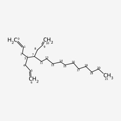 C=CC[C](CC=C)C(CC=C)CCCCCCCCCCC